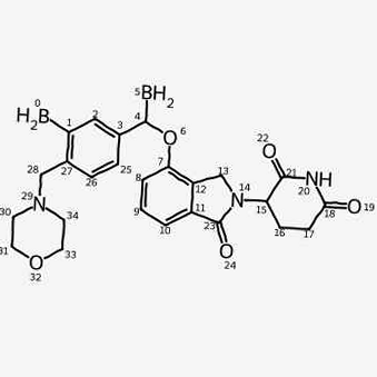 Bc1cc(C(B)Oc2cccc3c2CN(C2CCC(=O)NC2=O)C3=O)ccc1CN1CCOCC1